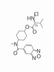 CC(C)[C@H](NCl)C(=O)OC1CCC(N(C)C(=O)c2ccc3nonc3c2)CC1